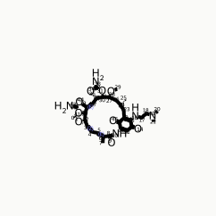 CO[C@H]1/C=C\C=C(/C)C(=O)NC2=CC(=O)C(NCCN(C)C)=C(C[C@@H](C)C[C@H](OC)[C@H](OC(N)=O)[C@@H](C)/C=C(\C)[C@@H]1OC(N)=O)C2=O